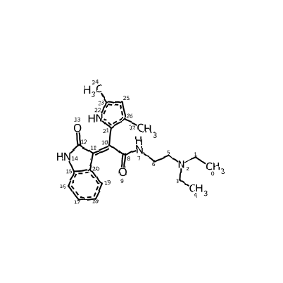 CCN(CC)CCNC(=O)/C(=C1/C(=O)Nc2ccccc21)c1[nH]c(C)cc1C